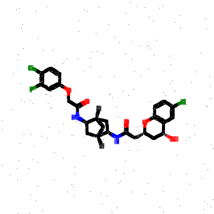 O=C(COc1ccc(Cl)c(F)c1)N[C@@H]1C[C@@H]2C[C@H]1C[C@H]2NC(=O)C[C@H]1C[C@@H](O)c2cc(Cl)ccc2O1